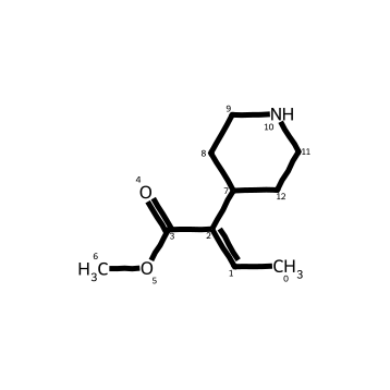 C/C=C(/C(=O)OC)C1CCNCC1